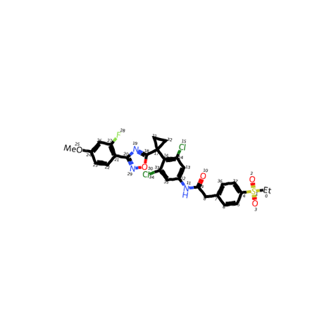 CCS(=O)(=O)c1ccc(CC(=O)Nc2cc(Cl)c(C3(c4nc(-c5ccc(OC)cc5F)no4)CC3)c(Cl)c2)cc1